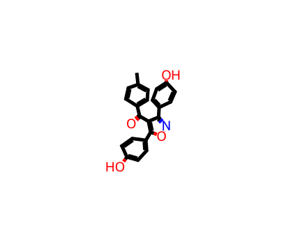 Cc1ccc(C(=O)c2c(-c3ccc(O)cc3)noc2-c2ccc(O)cc2)cc1